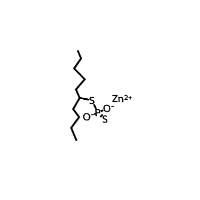 CCCCCC(CCCC)SP([O-])([O-])=S.[Zn+2]